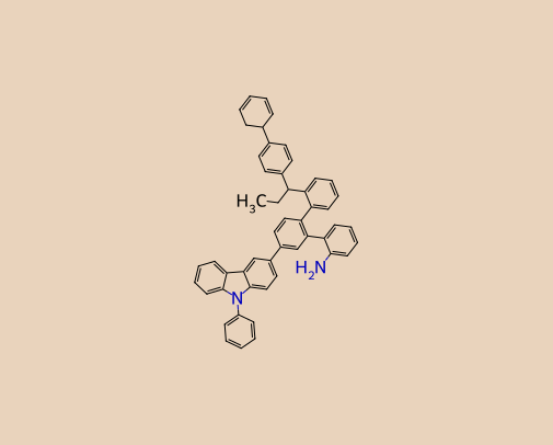 CCC(c1ccc(C2C=CC=CC2)cc1)c1ccccc1-c1ccc(-c2ccc3c(c2)c2ccccc2n3-c2ccccc2)cc1-c1ccccc1N